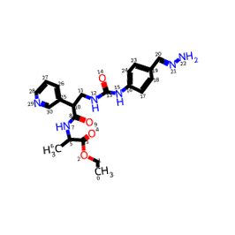 CCOC(=O)C(C)NC(=O)C(CNC(=O)Nc1ccc(C=NN)cc1)c1cccnc1